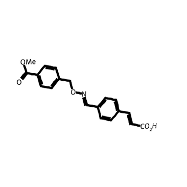 COC(=O)c1ccc(CON=Cc2ccc(C=CC(=O)O)cc2)cc1